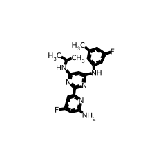 Cc1cc(F)cc(Nc2cc(NC(C)C)nc(-c3cc(F)cc(N)n3)n2)c1